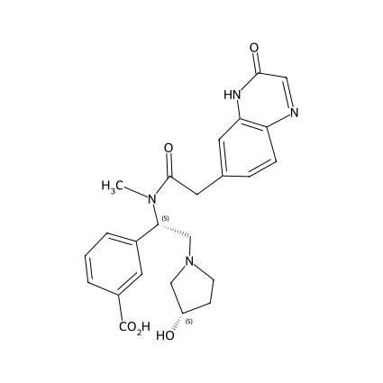 CN(C(=O)Cc1ccc2ncc(=O)[nH]c2c1)[C@H](CN1CC[C@H](O)C1)c1cccc(C(=O)O)c1